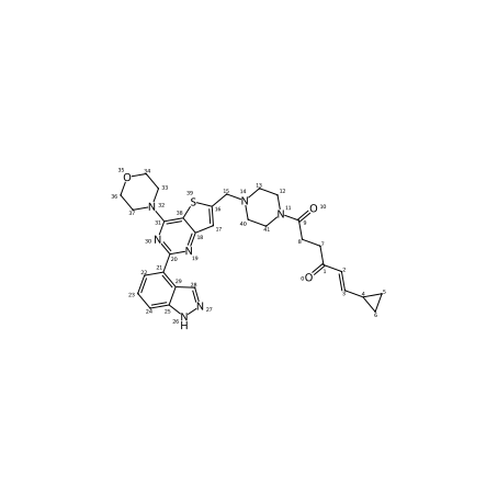 O=C(C=CC1CC1)CCC(=O)N1CCN(Cc2cc3nc(-c4cccc5[nH]ncc45)nc(N4CCOCC4)c3s2)CC1